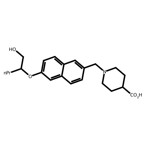 CCCC(CO)Oc1ccc2cc(CN3CCC(C(=O)O)CC3)ccc2c1